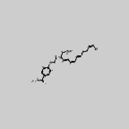 CC/C=C\CC/C=C/C=C\C=C\[C@H](CCOc1ccc(C(=O)OC)cc1)COC